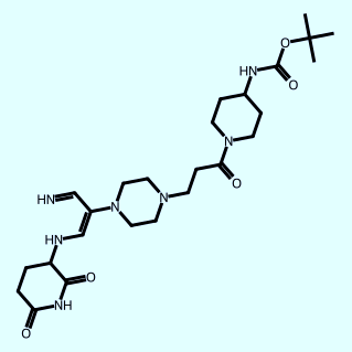 CC(C)(C)OC(=O)NC1CCN(C(=O)CCN2CCN(/C(C=N)=C/NC3CCC(=O)NC3=O)CC2)CC1